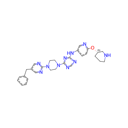 c1ccc(Cc2cnc(N3CCN(c4ncnc(Nc5ccc(O[C@H]6CCCNC6)nc5)n4)CC3)nc2)cc1